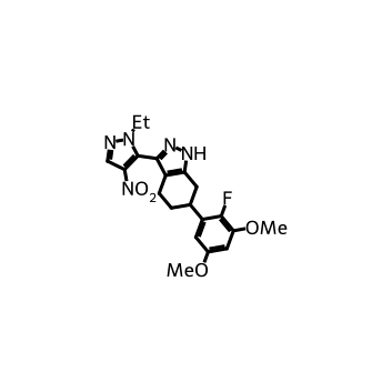 CCn1ncc([N+](=O)[O-])c1-c1n[nH]c2c1CCC(c1cc(OC)cc(OC)c1F)C2